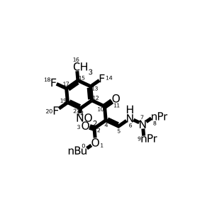 CCCCOC(=O)/C(=C/NN(CCC)CCC)C(=O)c1c(F)c(C)c(F)c(F)c1[N+](=O)[O-]